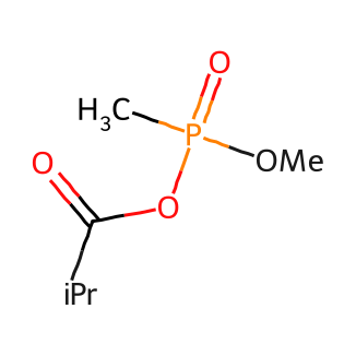 COP(C)(=O)OC(=O)C(C)C